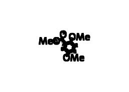 [CH2]Oc1ccc(OC)cc1C(=O)OC